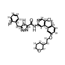 O=C(Nc1cc(-c2cc(OCCC3CCCOC3)ccc2F)c(Cl)cn1)c1nnc(Cc2ccccc2F)[nH]1